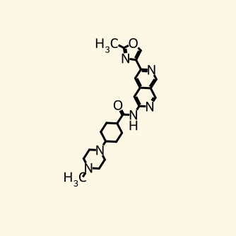 Cc1nc(-c2cc3cc(NC(=O)C4CCC(N5CCN(C)CC5)CC4)ncc3cn2)co1